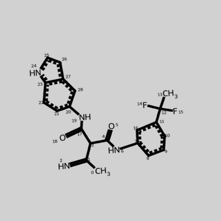 CC(=N)C(C(=O)Nc1cccc(C(C)(F)F)c1)C(=O)Nc1ccc2[nH]ccc2c1